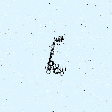 CN(CCOCCOCCCc1ccc2c(c1)oc(=O)n2C1CCC(=O)NC1=O)C(=O)OC(C)(C)C